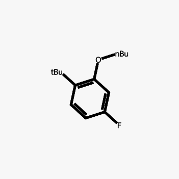 CCCCOc1cc(F)ccc1C(C)(C)C